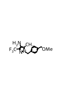 COCc1ccc(Cn2nc(C(F)(F)F)c(N)c2C)cc1